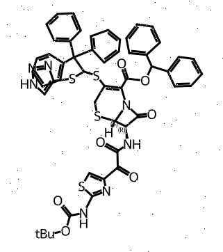 CC(C)(C)OC(=O)Nc1nc(C(=O)C(=O)N[C@@H]2C(=O)N3C(C(=O)OC(c4ccccc4)c4ccccc4)=C(SC(Sc4c[nH]nn4)C(c4ccccc4)(c4ccccc4)c4ccccc4)CS[C@@H]23)cs1